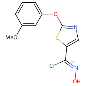 COc1cccc(Oc2ncc(/C(Cl)=N/O)s2)c1